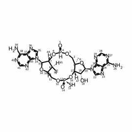 C[C@@]12CO[PH](=O)O[C@@H]3[C@@H](F)[C@@H](CO[P@](=O)(S)O[C@H]1[C@@H](O)[C@H](n1cnc4c(N)ncnc41)O2)O[C@H]3n1cnc2c(N)ncnc21